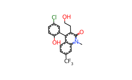 Cn1c(=O)c(CCO)c(-c2cc(Cl)ccc2O)c2ccc(C(F)(F)F)cc21